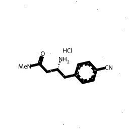 CNC(=O)C[C@H](N)Cc1ccc(C#N)cc1.Cl